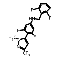 Cn1nc(C(F)(F)F)cc1-c1c(F)cc(NCc2c(F)cccc2F)cc1F